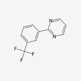 FC(F)(F)c1cccc(-c2ncccn2)c1